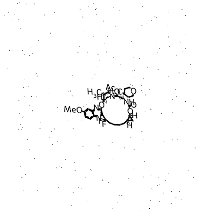 COc1ccc2nc3c(nc2c1)O[C@H]1CN(C(=O)[C@H](C2(C)CCOCC2)NC(=O)O[C@@H]2C[C@H]2CCCCC3(F)F)[C@H](C(C)=O)[C@@H]1C